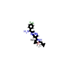 N#CC1(C(NC(=O)CC2(C(F)(F)F)CC2)c2cnn3cc([C@@H](N)C4CCC(F)(F)CC4)nc3c2)CC1